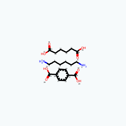 NCCCCCCN.O=C(O)CCCCC(=O)O.O=C(O)c1ccc(C(=O)O)cc1